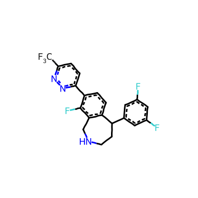 Fc1cc(F)cc(C2CCNCc3c2ccc(-c2ccc(C(F)(F)F)nn2)c3F)c1